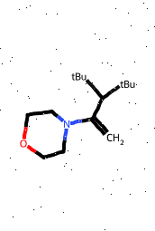 C=C(C(C(C)(C)C)C(C)(C)C)N1CCOCC1